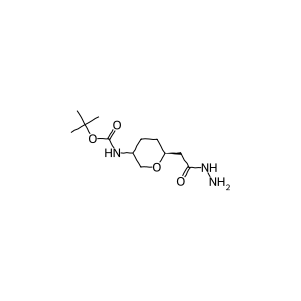 CC(C)(C)OC(=O)NC1CC[C@@H](CC(=O)NN)OC1